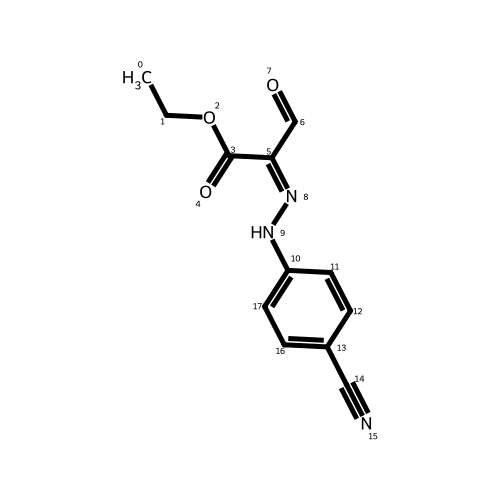 CCOC(=O)C(C=O)=NNc1ccc(C#N)cc1